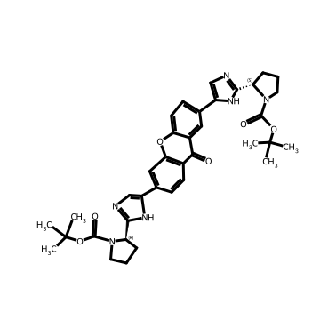 CC(C)(C)OC(=O)N1CCC[C@@H]1c1ncc(-c2ccc3c(=O)c4cc(-c5cnc([C@@H]6CCCN6C(=O)OC(C)(C)C)[nH]5)ccc4oc3c2)[nH]1